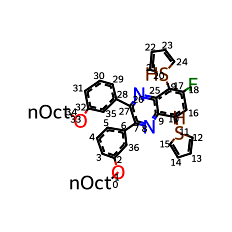 CCCCCCCCOc1cccc(-c2nc3c([SH]4C=CC=C4)cc(F)c([SH]4C=CC=C4)c3nc2-c2cccc(OCCCCCCCC)c2)c1